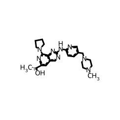 C[C@@H](O)c1cc2cnc(Nc3ccc(CN4CCN(C)CC4)cn3)nc2c(N2CCCC2)n1